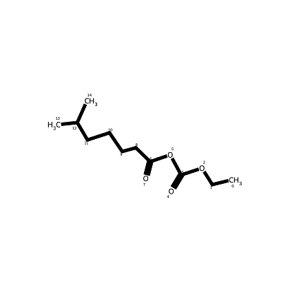 CCOC(=O)OC(=O)CCCCC(C)C